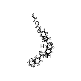 C=CCOCCOc1ccc2cc(C(=O)Nc3cc(NC(=O)c4ccc5c(c4)OCCO5)ccc3C)sc2c1